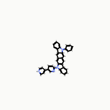 c1ccc(-n2c3ccccc3c3cc4cc5c(cc4cc32)c2ccccc2n5-c2ccc(-c3ccncc3)cn2)cc1